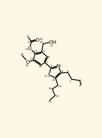 CCCCc1nc(-c2cc(CO)c(OC(C)=O)c(OC)c2)sc1CCCC